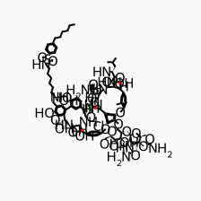 CCCCCCc1ccc(S(=O)(=O)NCCCCCCNCc2c(O)cc3c(c2O)-c2cc(ccc2O)[C@H]2NC(=O)[C@@H]4NC(=O)[C@H](CC(N)=O)NC(=O)[C@H](NC(=O)[C@@H](CC(C)C)NC)[C@H](O)c5ccc(c(C)c5)Oc5cc4cc(c5O[C@@H]4O[C@H](CO)[C@@H](O)[C@H](O)[C@H]4O[C@H]4C[C@](C)(NC(N)=O)[C@H](OC(N)=O)[C@H](C)O4)Oc4ccc(cc4Cl)[C@@H](O)[C@H](NC2=O)C(=O)N[C@@H]3C(=O)O)cc1